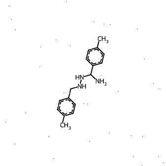 Cc1ccc(CNNC(N)c2ccc(C)cc2)cc1